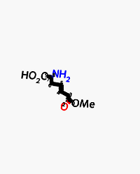 COC(=O)CC=CCC(N)C(=O)O